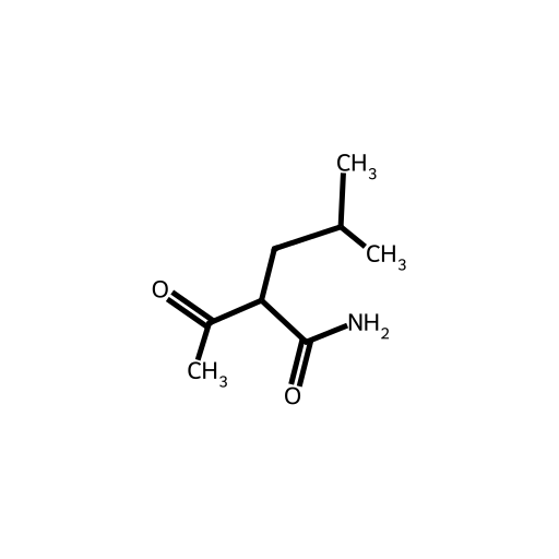 CC(=O)C(CC(C)C)C(N)=O